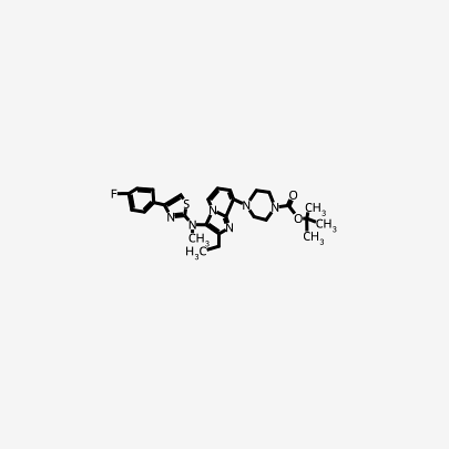 CCc1nc2c(N3CCN(C(=O)OC(C)(C)C)CC3)cccn2c1N(C)c1nc(-c2ccc(F)cc2)cs1